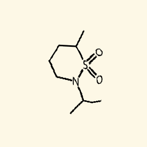 CC(C)N1CCCC(C)S1(=O)=O